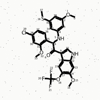 COc1cc(NC(C(=O)c2c[nH]c3cc(OC)c(OC(F)(F)F)cc23)c2ccc(Cl)cc2OC)cc(SC)c1